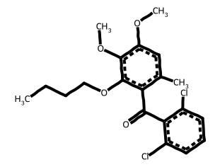 CCCCOc1c(OC)c(OC)cc(C)c1C(=O)c1c(Cl)cccc1Cl